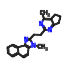 Cc1nc(CCc2nc3c4ccccc4ccc3n2C)nc2c1CCC2